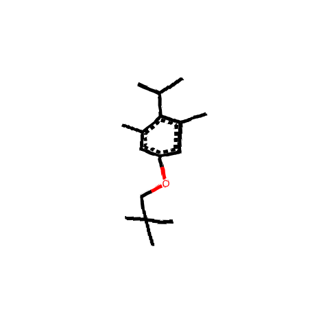 Cc1cc(OCC(C)(C)C)cc(C)c1C(C)C